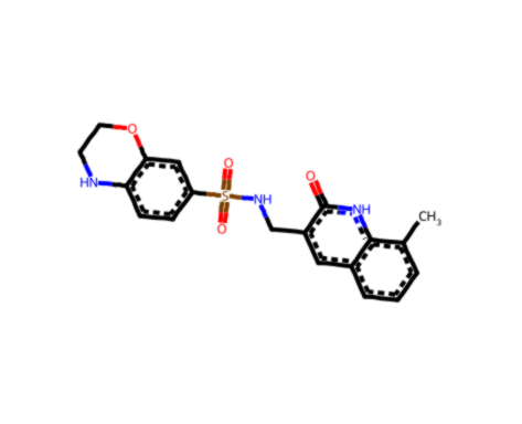 Cc1cccc2cc(CNS(=O)(=O)c3ccc4c(c3)OCCN4)c(=O)[nH]c12